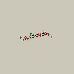 COc1ccc(-c2ccc(-c3ccc(OC(=O)c4ccc(OC)c(F)c4)cc3)c(F)c2F)cc1